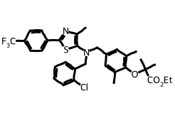 CCOC(=O)C(C)(C)Oc1c(C)cc(CN(Cc2ccccc2Cl)c2sc(-c3ccc(C(F)(F)F)cc3)nc2C)cc1C